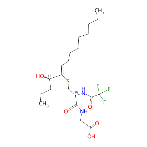 CCCCCCCCC=C(SC[C@H](NC(=O)C(F)(F)F)C(=O)NCC(=O)O)[C@H](O)CCC